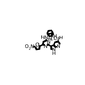 O=C(O)[C@H]1C2CCC(CC2)[C@H]1Nc1cc(-c2ccc([N+](=O)[O-])o2)nc(-c2c[nH]c3ncc(F)cc23)n1